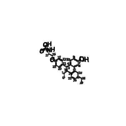 CCC(=C(c1ccc(O)cc1)c1ccc(OCCNC(=O)O)cc1)c1ccc(CC)cc1